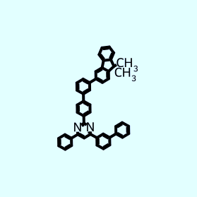 CC1(C)c2ccccc2-c2cc(-c3cccc(-c4ccc(-c5nc(-c6ccccc6)cc(-c6cccc(-c7ccccc7)c6)n5)cc4)c3)ccc21